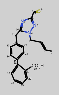 CC=CCn1nc(C=S)nc1Cc1ccc(-c2ccccc2C(=O)O)cc1